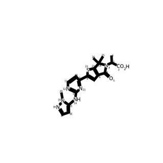 CC(C(=O)O)N1C(=O)c2cc(-c3ccnc(Nc4ccnn4C)n3)sc2C1(C)C